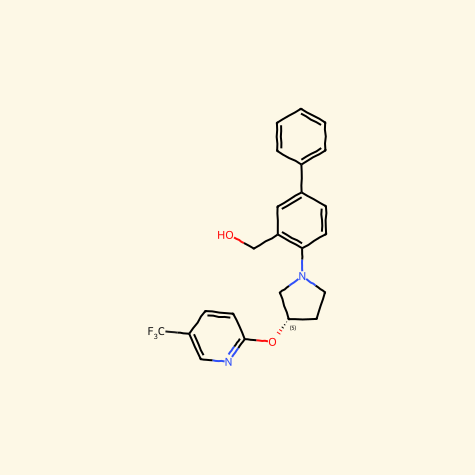 OCc1cc(-c2ccccc2)ccc1N1CC[C@H](Oc2ccc(C(F)(F)F)cn2)C1